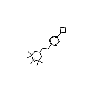 CN1C(C)(C)CC(CCc2ccc(C3CCC3)cc2)CC1(C)C